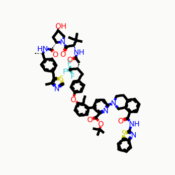 Cc1ncsc1-c1ccc([C@H](C)NC(=O)[C@@H]2C[C@@H](O)CN2C(=O)[C@@H](NC(=O)C[C@H](Cc2ccc(Oc3cccc(-c4ccc(N5CCc6cccc(C(=O)Nc7nc8ccccc8s7)c6C5)nc4C(=O)OC(C)(C)C)c3C)cc2)C(F)(F)F)C(C)(C)C)cc1